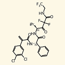 C=C(C(=O)N[C@H](C(=O)N[C@H](C(=O)C(F)(F)C(=O)NCC(F)(F)F)C(C)C)c1ccccc1)c1ccc(Cl)c(Cl)c1